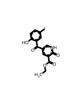 CCOC(=O)c1cc(C(=O)c2cc(I)ccc2O)c[nH]c1=O